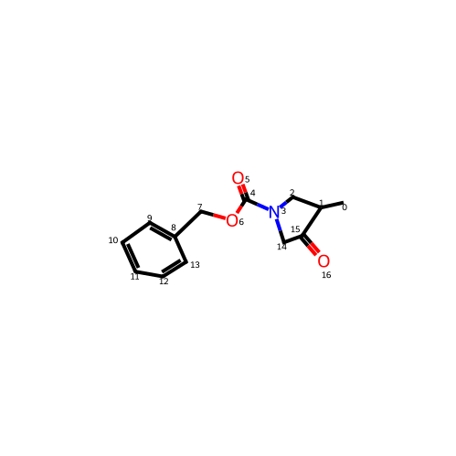 CC1CN(C(=O)OCc2ccccc2)CC1=O